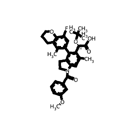 COc1cccc(C(=O)N2CCc3c2cc(C)c([C@H](OC(C)(C)C)C(=O)O)c3-c2cc(F)c3c(c2C)CCCO3)c1